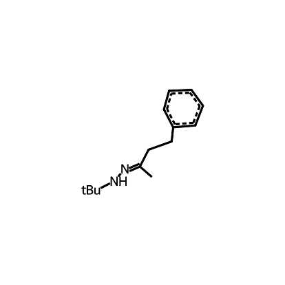 C/C(CCc1ccccc1)=N\NC(C)(C)C